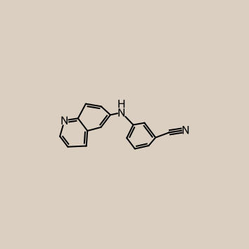 N#Cc1cccc(Nc2ccc3ncccc3c2)c1